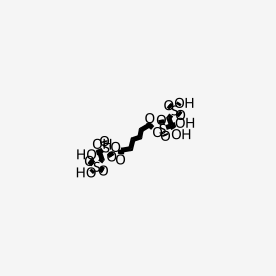 O=C(CCCCC(=O)OS(=O)(=O)C(O)(O)CS(=O)(=O)O)OS(=O)(=O)C(O)(O)CS(=O)(=O)O